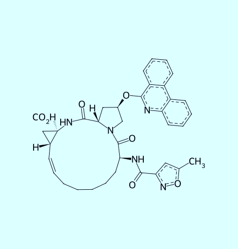 Cc1cc(C(=O)N[C@H]2CCCCCC=C[C@@H]3C[C@@]3(C(=O)O)NC(=O)[C@@H]3C[C@@H](Oc4nc5ccccc5c5ccccc45)CN3C2=O)no1